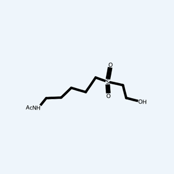 CC(=O)NCCCCCS(=O)(=O)CCO